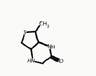 CC1SCC2NCC(=O)NC21